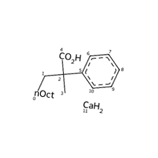 CCCCCCCCCC(C)(C(=O)O)c1ccccc1.[CaH2]